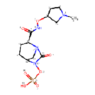 CN1CCC(ONC(=O)[C@@H]2CCC3CN2C(=O)N3OS(=O)(=O)O)C1